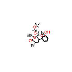 CCCCOC(=O)C(CC)CC(C[Si](C)(O[Si](C)(C)O)O[Si](C)(C)O[Si](C)(C)C)c1ccccc1